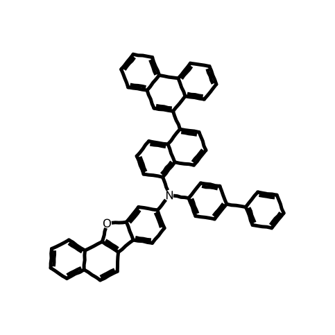 c1ccc(-c2ccc(N(c3ccc4c(c3)oc3c5ccccc5ccc43)c3cccc4c(-c5cc6ccccc6c6ccccc56)cccc34)cc2)cc1